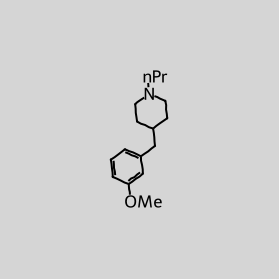 CCCN1CCC(Cc2cccc(OC)c2)CC1